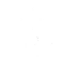 COC(=O)N1C(C)CCC1CC(C)=O